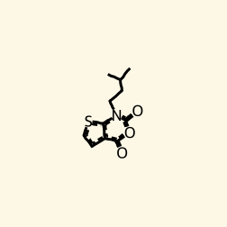 CC(C)CCn1c(=O)oc(=O)c2ccsc21